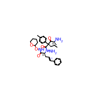 CCC[C@@](C(=O)[C@H](C)N)(C(=O)N(N)[C@@H](C/C=C/c1ccccc1)C(=O)NOC1CCCCO1)c1ccc(C)cc1